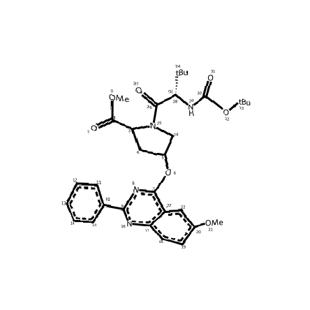 COC(=O)C1CC(Oc2nc(-c3ccccc3)nc3ccc(OC)cc23)CN1C(=O)[C@@H](NC(=O)OC(C)(C)C)C(C)(C)C